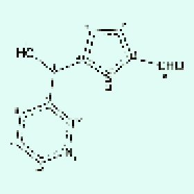 O=Cc1ccc(C(O)c2cccnc2)s1